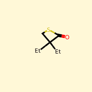 CCC1(CC)CSC1=O